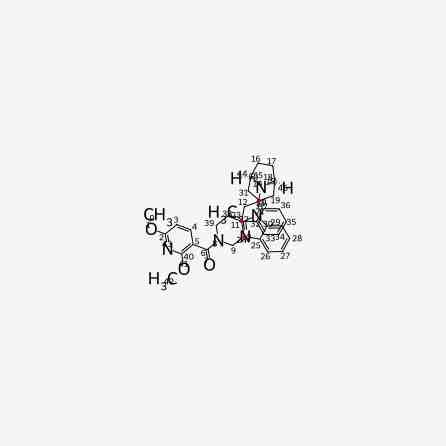 COc1ccc(C(=O)N2CCC(CCN3[C@@H]4CC[C@H]3CC(n3c(C)nc5ccccc53)C4)(c3ccccc3)CC2)c(OC)n1